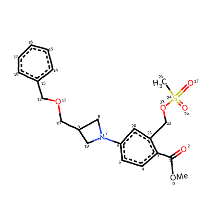 COC(=O)c1ccc(N2CC(COCc3ccccc3)C2)cc1COS(C)(=O)=O